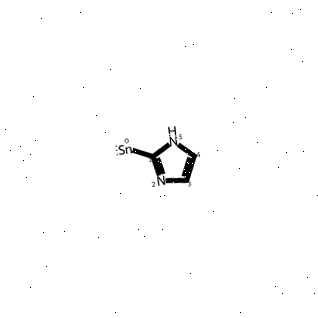 [Sn][c]1ncc[nH]1